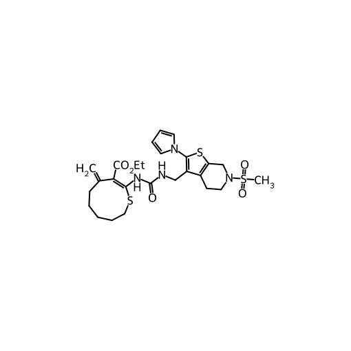 C=C1CCCCCS/C(NC(=O)NCc2c(-n3cccc3)sc3c2CCN(S(C)(=O)=O)C3)=C\1C(=O)OCC